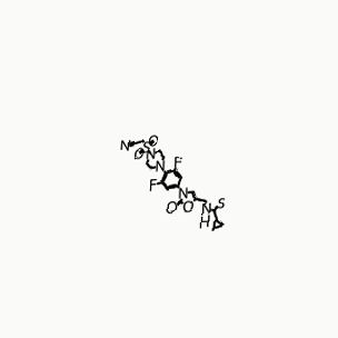 N#CCS(=O)(=O)N1CCN(c2c(F)cc(N3CC(CNC(=S)C4CC4)OC3=O)cc2F)CC1